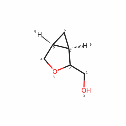 OCC1OC[C@H]2C[C@@H]12